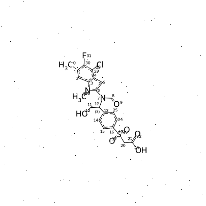 Cc1cc2c(cc(N(C=O)[C@H](CO)c3ccc(S(=O)(=O)CC(=O)O)cc3)n2C)c(Cl)c1F